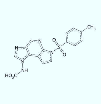 Cc1ccc(S(=O)(=O)n2ccc3c4c(cnc32)ncn4NC(=O)O)cc1